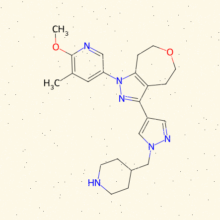 COc1ncc(-n2nc(-c3cnn(CC4CCNCC4)c3)c3c2CCOCC3)cc1C